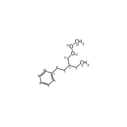 CCC(CCc1ccccc1)COOC